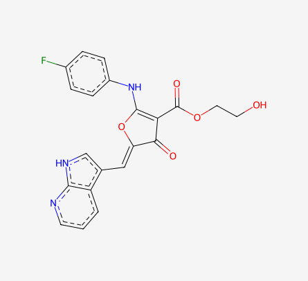 O=C(OCCO)C1=C(Nc2ccc(F)cc2)OC(=Cc2c[nH]c3ncccc23)C1=O